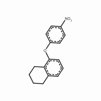 O=[N+]([O-])c1ccc(Oc2cccc3c2CCCC3)cc1